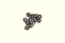 c1ccc2c(c#1)-c1c(N(c3cccc4c3C3=C(C=CCC3)C43c4ccccc4-c4ccccc43)c3cccc4c3sc3ccccc34)cccc1C2(c1cccc(-c2ccccc2)c1)c1cccc(-c2ccccc2)c1